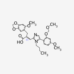 CCCCn1c(-c2ccc(OC)cc2OCOC)cnc1/C=C(\Cc1cc2c(cc1OC)OCO2)C(=O)O